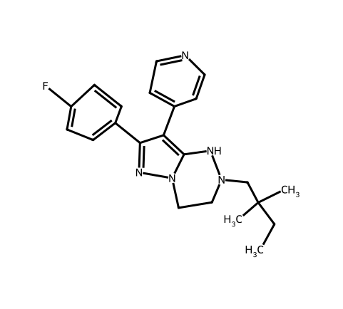 CCC(C)(C)CN1CCn2nc(-c3ccc(F)cc3)c(-c3ccncc3)c2N1